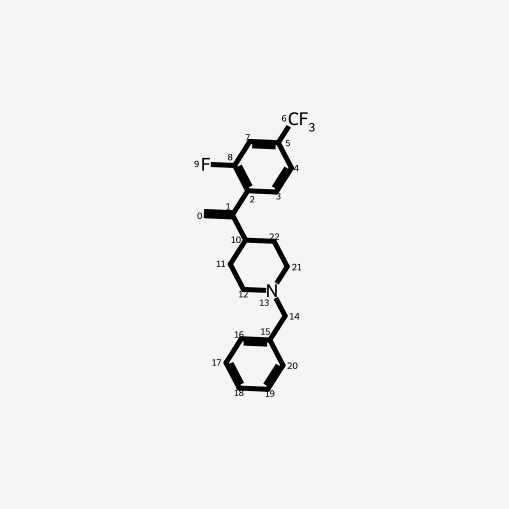 C=C(c1ccc(C(F)(F)F)cc1F)C1CCN(Cc2ccccc2)CC1